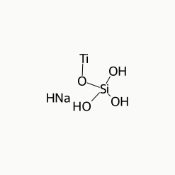 O[Si](O)(O)[O][Ti].[NaH]